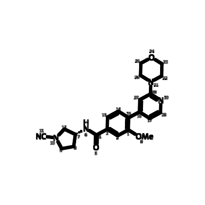 COc1cc(C(=O)N[C@@H]2CCN(C#N)C2)ccc1-c1ccnc(N2CCOCC2)c1